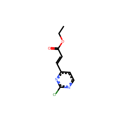 CCOC(=O)C=Cc1ccnc(Cl)n1